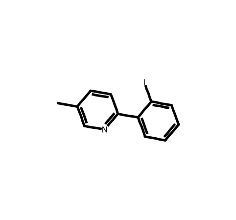 Cc1ccc(-c2ccccc2I)nc1